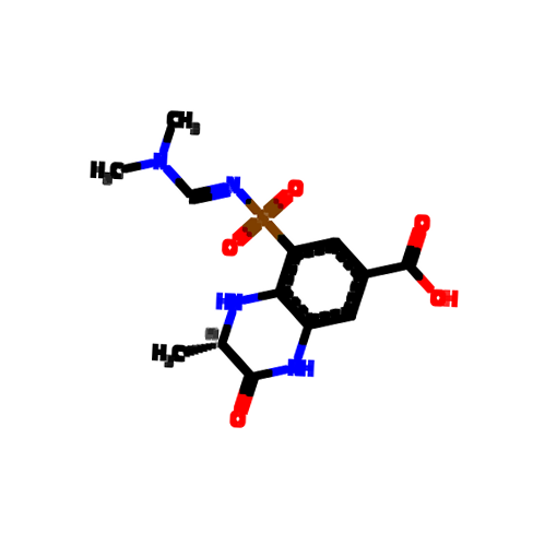 C[C@@H]1Nc2c(cc(C(=O)O)cc2S(=O)(=O)N=CN(C)C)NC1=O